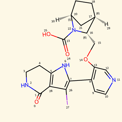 O=C1NCCc2[nH]c(-c3ccncc3OC[C@H]3[C@@H]4CC[C@@H](C4)N3C(=O)O)c(I)c21